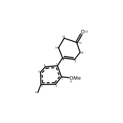 COc1cc(C)ccc1C1=CCC(=O)CC1